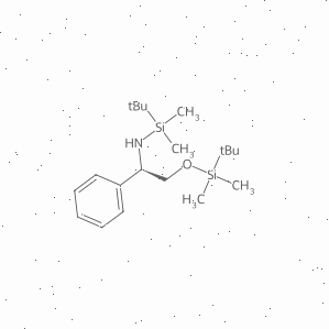 CC(C)(C)[Si](C)(C)N[C@@H](CO[Si](C)(C)C(C)(C)C)c1ccccc1